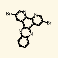 Brc1cnc2c(c1)c1nc3ccccc3nc1c1cc(Br)cnc12